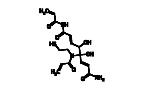 C=CC(=O)NC(=O)C=CC(O)C(O)(C=CC(N)=O)N(CCS)C(=O)C=C